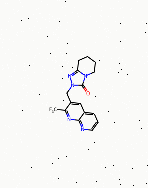 O=c1n(Cc2cc3cccnc3nc2C(F)(F)F)nc2n1CCCC2